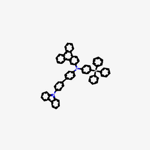 c1ccc([Si](c2ccccc2)(c2ccccc2)c2ccc(N(c3ccc(-c4ccc(-n5c6ccccc6c6ccccc65)cc4)cc3)c3ccc4c5ccccc5c5ccccc5c4c3)cc2)cc1